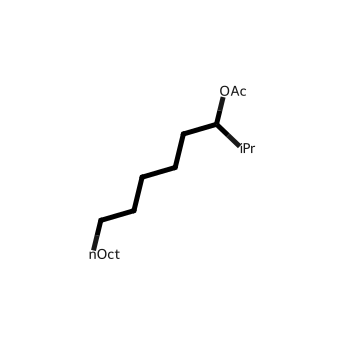 CCCCCCCCCCCCCC(OC(C)=O)C(C)C